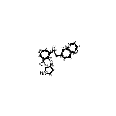 Clc1cncc(NCc2ccc3nccnc3c2)c1OC1CCNC1